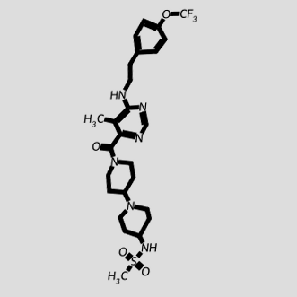 Cc1c(NCCc2ccc(OC(F)(F)F)cc2)ncnc1C(=O)N1CCC(N2CCC(NS(C)(=O)=O)CC2)CC1